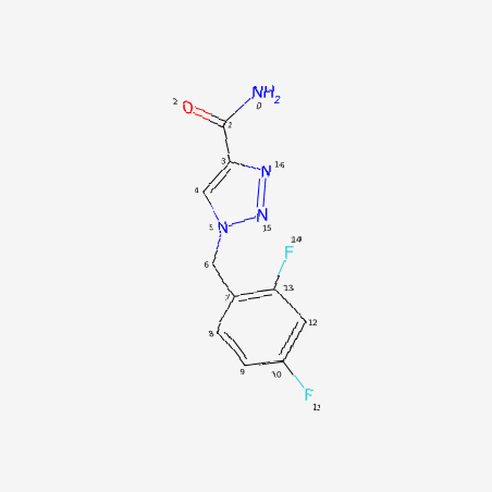 NC(=O)c1cn(Cc2ccc(F)cc2F)nn1